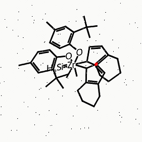 Cc1ccc([O][Zr]([CH3])([CH3])(=[SiH2])([O]c2ccc(C)cc2C(C)(C)C)([CH]2C=CC3=C2CCCC3)[CH]2C=CC3=C2CCCC3)c(C(C)(C)C)c1